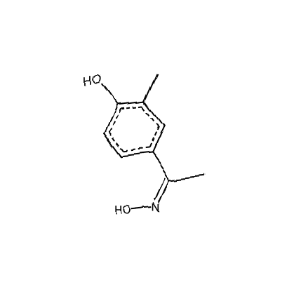 C/C(=N/O)c1ccc(O)c(C)c1